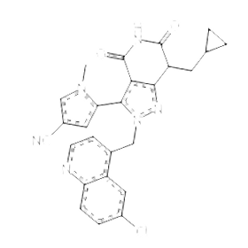 Cn1cc(C#N)cc1-c1c2c(nn1Cc1ccnc3ccc(Cl)cc13)C(CC1CC1)C(=O)NC2=O